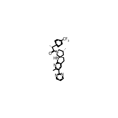 Cc1nc2c(cc1-c1ncccn1)CC[C@@]1(C[C@@H](C)CN(C(=O)[C@H](C)c3ccc(C(F)(F)F)cc3)C1)N2